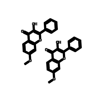 COc1ccc2c(=O)c(O)c(-c3ccccc3)oc2c1.COc1ccc2c(=O)c(O)c(-c3ccccc3)oc2c1